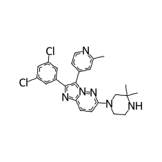 Cc1cc(-c2c(-c3cc(Cl)cc(Cl)c3)nc3ccc(N4CCNC(C)(C)C4)nn23)ccn1